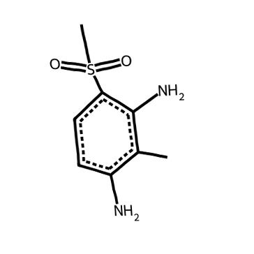 Cc1c(N)ccc(S(C)(=O)=O)c1N